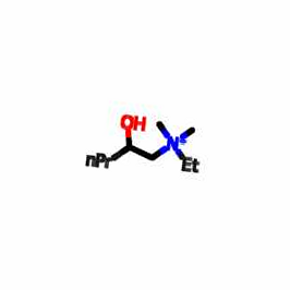 CCCC(O)C[N+](C)(C)CC